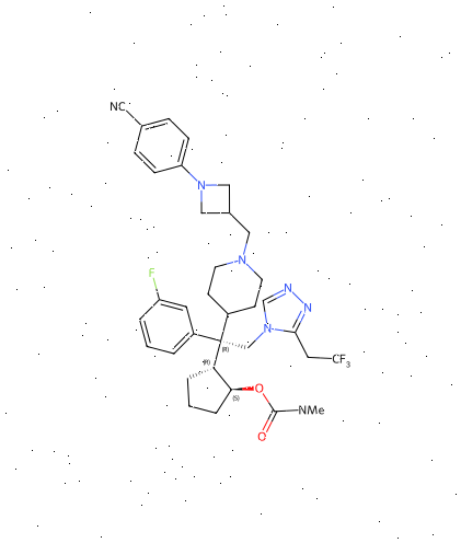 CNC(=O)O[C@H]1CCC[C@@H]1[C@@](Cn1cnnc1CC(F)(F)F)(c1cccc(F)c1)C1CCN(CC2CN(c3ccc(C#N)cc3)C2)CC1